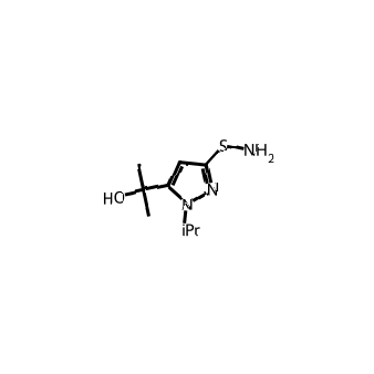 CC(C)n1nc(SN)cc1C(C)(C)O